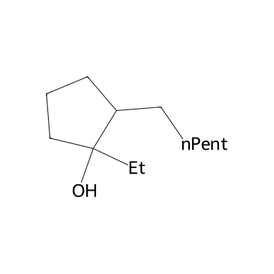 CCCCCCC1CCCC1(O)CC